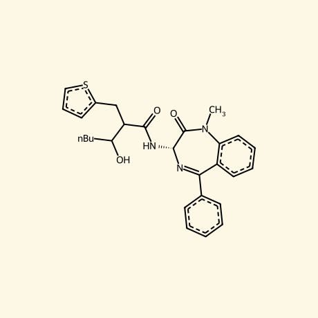 CCCCC(O)C(Cc1cccs1)C(=O)N[C@H]1N=C(c2ccccc2)c2ccccc2N(C)C1=O